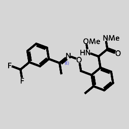 CNC(=O)C(NOC)c1cccc(C)c1CO/N=C(\C)c1cccc(C(F)F)c1